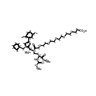 CC(C)(C)OC(=O)N[C@@H](CCN(C(=O)CSCCOCCOCCOCCOCCC(=O)O)[C@@H](c1nc(-c2cc(F)ccc2F)cn1Cc1ccccc1)C(C)(C)C)C(=O)OC(C)(C)C